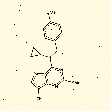 COc1ccc(CN(c2nc(SC)nn3c(C#N)cnc23)C2CC2)cc1